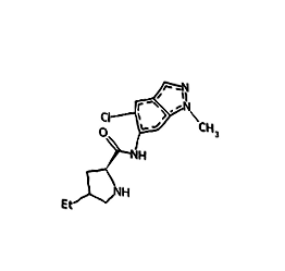 CCC1CN[C@H](C(=O)Nc2cc3c(cnn3C)cc2Cl)C1